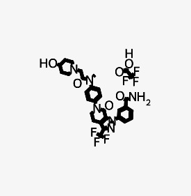 CN(C(=O)CN1CCC(O)CC1)c1ccc(N2CCc3c(C(F)(F)F)nn(-c4cccc(C(N)=O)c4)c3C2=O)cc1.O=C(O)C(F)(F)F